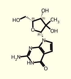 CC1(O)[C@@H](O)[C@@H](CO)O[C@H]1n1ccc2c(=O)[nH]c(N)nc21